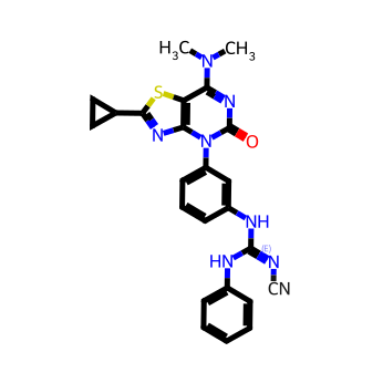 CN(C)c1nc(=O)n(-c2cccc(N/C(=N/C#N)Nc3ccccc3)c2)c2nc(C3CC3)sc12